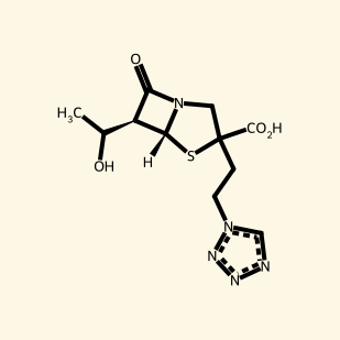 CC(O)[C@H]1C(=O)N2CC(CCn3cnnn3)(C(=O)O)S[C@H]12